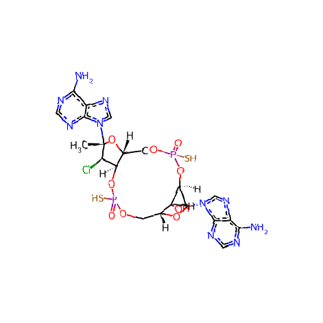 C[C@@]1(n2cnc3c(N)ncnc32)O[C@@H]2COP(=O)(S)O[C@@H]3[C@H](O)[C@@H](COP(=O)(S)O[C@H]2[C@H]1Cl)O[C@H]3n1cnc2c(N)ncnc21